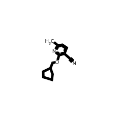 Cc1ccc(C#N)c(OCC2CCCC2)n1